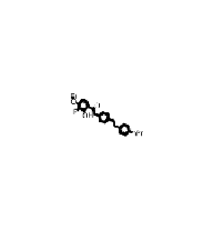 CCCc1ccc(CCc2ccc(CC(=O)c3ccc(OCC)c(F)c3O)cc2)cc1